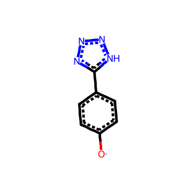 [O]c1ccc(-c2nnn[nH]2)cc1